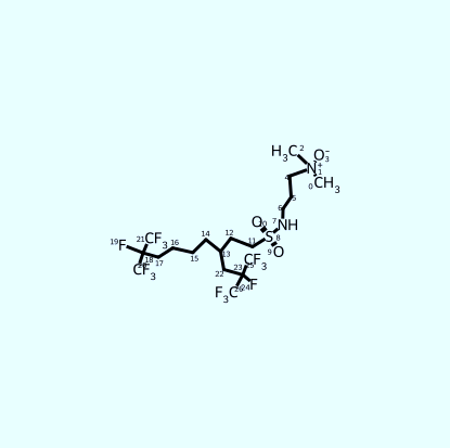 C[N+](C)([O-])CCCNS(=O)(=O)CCC(CCCCC(F)(C(F)(F)F)C(F)(F)F)CC(F)(C(F)(F)F)C(F)(F)F